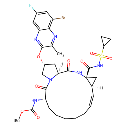 Cc1nc2c(Br)cc(F)cc2nc1O[C@@H]1C[C@H]2C(=O)N[C@]3(C(=O)NS(=O)(=O)C4CC4)C[C@H]3/C=C\CCCCC[C@H](NC(=O)OC(C)(C)C)C(=O)N2C1